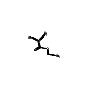 CCN(C(=O)OCC(C)(C)C)C(C)(C)C